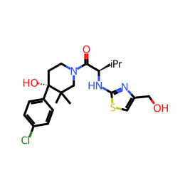 CC(C)[C@@H](Nc1nc(CO)cs1)C(=O)N1CC[C@](O)(c2ccc(Cl)cc2)C(C)(C)C1